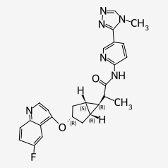 CC(C(=O)Nc1ccc(-c2nncn2C)cn1)[C@H]1[C@@H]2C[C@H](Oc3ccnc4ccc(F)cc34)C[C@@H]21